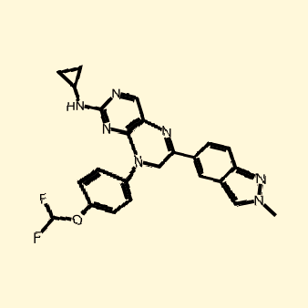 Cn1cc2cc(C3=Nc4cnc(NC5CC5)nc4N(c4ccc(OC(F)F)cc4)C3)ccc2n1